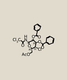 CC(=O)OC[C@H]1O[C@H](NC(=O)C(Cl)(Cl)Cl)[C@H](OC(=O)c2ccccc2)[C@@H](OC(=O)c2ccccc2)[C@H]1Cl